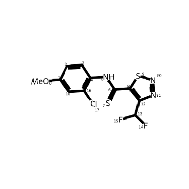 COc1ccc(NC(=S)c2snnc2C(F)F)c(Cl)c1